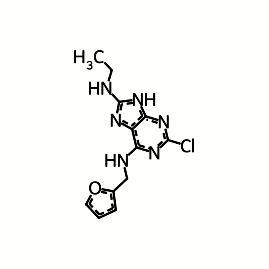 CCNc1nc2c(NCc3ccco3)nc(Cl)nc2[nH]1